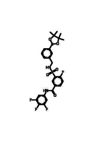 CC1(C)OB(c2cccc(CNS(=O)(=O)c3cc(C(=O)Nc4cc(F)c(F)c(F)c4)ccc3F)c2)OC1(C)C